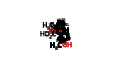 C=C1C[C@]23C[C@@]1(O)CC[C@H]2[C@@]12CC=C[C@@](C)(C(=O)O1)[C@H]2[C@@H]3C(=O)O